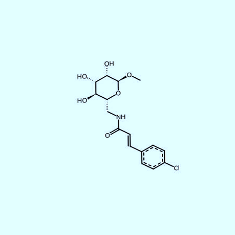 CO[C@H]1O[C@H](CNC(=O)C=Cc2ccc(Cl)cc2)[C@@H](O)[C@H](O)[C@@H]1O